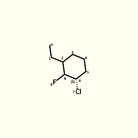 CCC1CCC[C@H](Cl)C1F